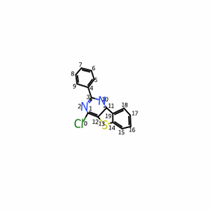 Clc1nc(-c2ccccc2)nc2c1sc1ccccc12